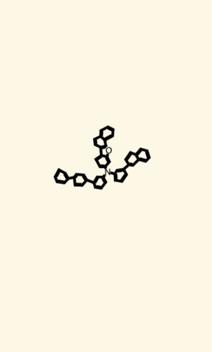 c1ccc(-c2ccc(-c3cccc(N(c4cccc(-c5ccc6ccccc6c5)c4)c4ccc5c(c4)oc4c6ccccc6ccc54)c3)cc2)cc1